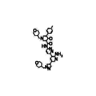 Cc1ccc(-c2cn(CC3CCOCC3)cc(C(=O)Nc3ccc(-c4cc(-c5cnn(CC6CCOCC6)c5)cnc4N)nn3)c2=O)cc1